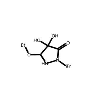 CCOC1NN(C(C)C)C(=O)C1(O)O